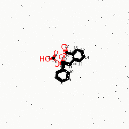 O=C(O)OC1(c2ccccc2)Cc2ccccc2C(=O)O1